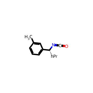 CCC[C@@H](N=C=O)c1cccc(C)c1